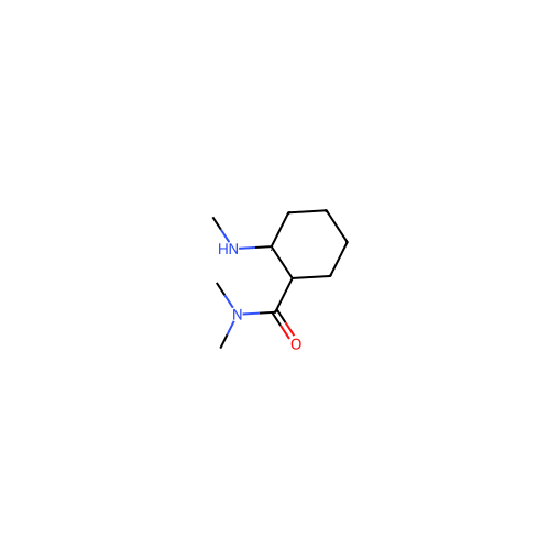 CN[C]1CCCCC1C(=O)N(C)C